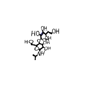 CC(C)NC1OC(CO)C(OC(O)/C(O)=C(/O)C(O)CCO)C(O)C1O